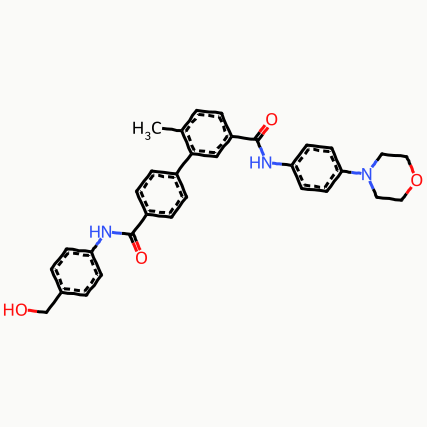 Cc1ccc(C(=O)Nc2ccc(N3CCOCC3)cc2)cc1-c1ccc(C(=O)Nc2ccc(CO)cc2)cc1